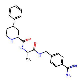 C[C@H](NC(=O)[C@@H]1C[C@@H](c2ccccc2)CCN1)C(=O)NCc1ccc(C(=N)N)cc1